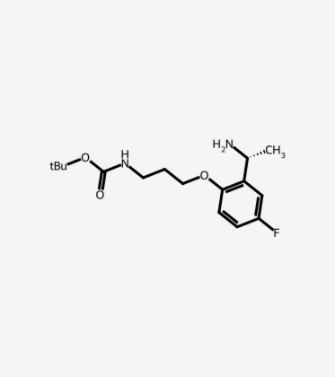 C[C@@H](N)c1cc(F)ccc1OCCCNC(=O)OC(C)(C)C